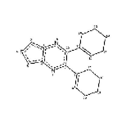 C1=C(c2nc3cscc3nc2C2=CCCCC2)CCCC1